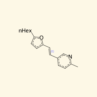 CCCCCCc1ccc(/C=C/c2ccc(C)nc2)o1